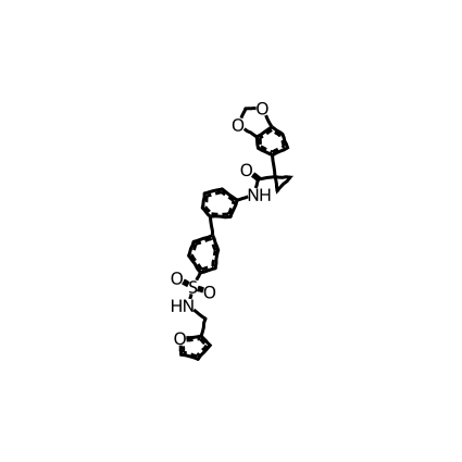 O=C(Nc1cccc(-c2ccc(S(=O)(=O)NCc3ccco3)cc2)c1)C1(c2ccc3c(c2)OCO3)CC1